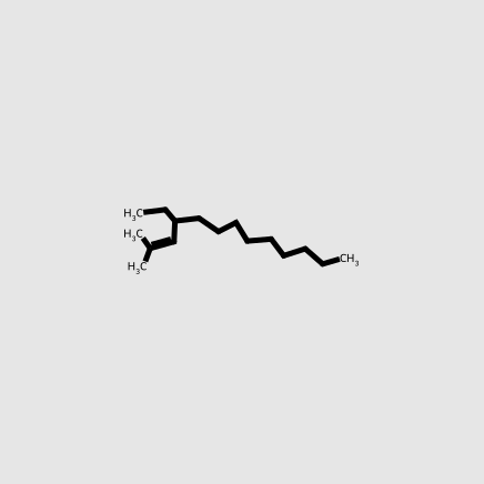 CCCCCCCCCC(C=C(C)C)CC